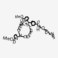 COC(=O)c1cccc(CN2CCOCCOCCN(C(c3ccc(C(=O)NCCOCCOCCN=C=S)cc3)c3cccc(C(=O)OC)n3)CCOCCOCC2)n1